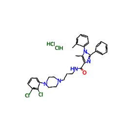 Cc1ccccc1-n1c(-c2ccccc2)nc(C(=O)NCCCN2CCN(c3cccc(Cl)c3Cl)CC2)c1C.Cl.Cl